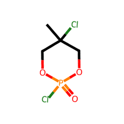 CC1(Cl)COP(=O)(Cl)OC1